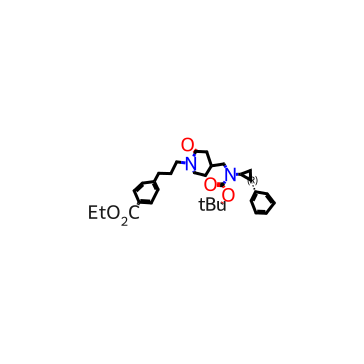 CCOC(=O)c1ccc(CCCN2CCC(CN(C(=O)OC(C)(C)C)C3C[C@@H]3c3ccccc3)CC2=O)cc1